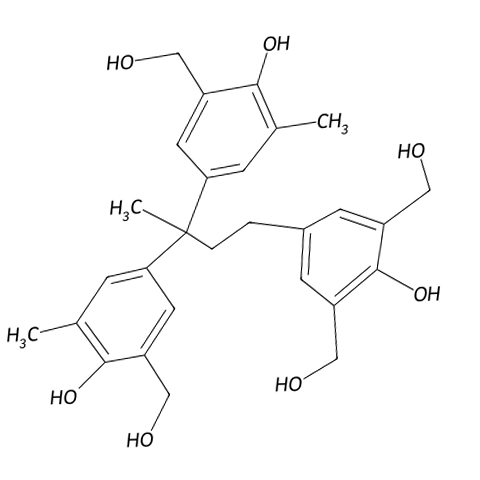 Cc1cc(C(C)(CCc2cc(CO)c(O)c(CO)c2)c2cc(C)c(O)c(CO)c2)cc(CO)c1O